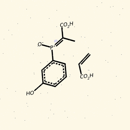 C/C(C(=O)O)=[P+](/[O-])c1cccc(O)c1.C=CC(=O)O